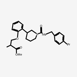 COC(=O)C(C)COc1ccccc1C1CCCN(C(=O)NCc2ccc(C(C)C)cc2)C1